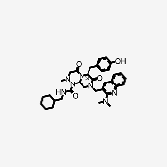 CN(C)c1nc2ccccc2cc1CN1CC2N(C(=O)CN(C)N2C(=O)NCC2CCCCC2)[C@@H](Cc2ccc(O)cc2)C1=O